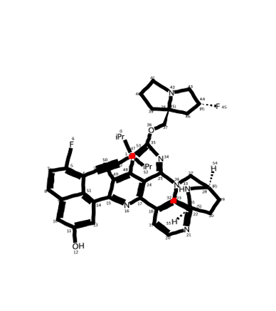 CC(C)[Si](C#Cc1c(F)ccc2cc(O)cc(-c3nc(-c4ccncc4)c4c(N5C[C@H]6CC[C@@H](C5)N6)nc(OC[C@@]56CCCN5C[C@H](F)C6)nc4c3F)c12)(C(C)C)C(C)C